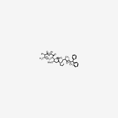 CC[C@H](C)[C@@H]([C@@H](CC(=O)N1CCC[C@H]1[C@H](OC)[C@@H](C)C(=O)N[C@H](C)C(c1ccccc1)c1ccccc1)OC)N(C)C(=O)[C@@H](NC(=O)[C@H](C(C)C)N(C)C)C(C)C